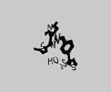 Cc1cc2c(c(C)n1)c(-c1ccc(C)s1)nn2Cc1ccc(-c2ccsc2S(=O)(=O)O)cc1